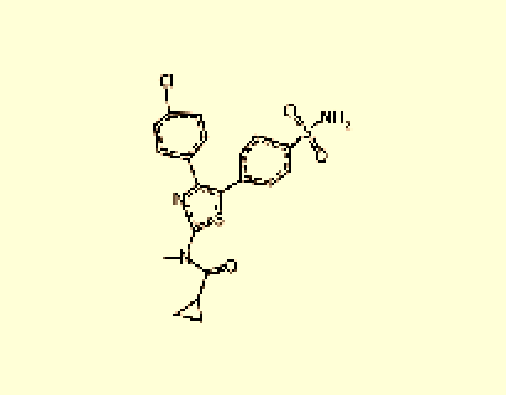 CN(C(=O)C1CC1)c1nc(-c2ccc(Cl)cc2)c(-c2ccc(S(N)(=O)=O)cc2)s1